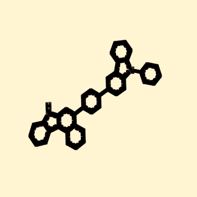 c1ccc(-n2c3ccccc3c3cc(-c4ccc(-c5cc6[nH]c7ccccc7c6c6ccccc56)cc4)ccc32)cc1